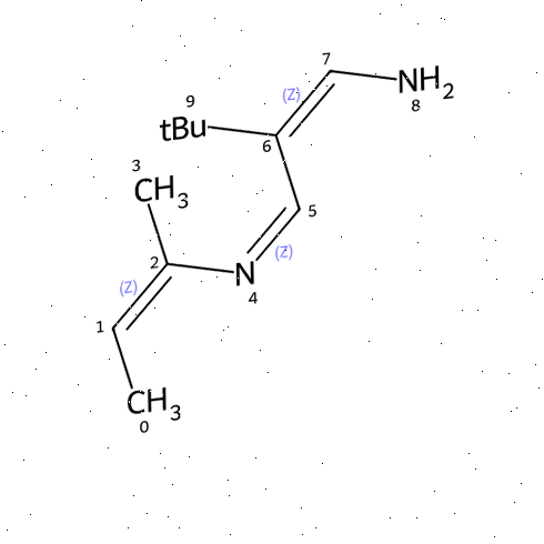 C\C=C(C)/N=C\C(=C/N)C(C)(C)C